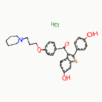 Cl.O=C(c1ccc(OCCCN2CCCCC2)cc1)c1c(-c2ccc(O)cc2)sc2cc(O)ccc12